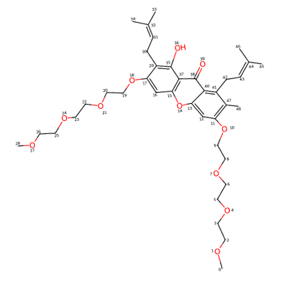 COCCOCCOCCOc1cc2oc3cc(OCCOCCOCCOC)c(CC=C(C)C)c(O)c3c(=O)c2c(CC=C(C)C)c1C